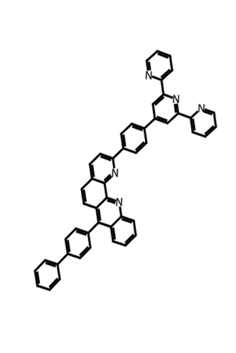 c1ccc(-c2ccc(-c3c4ccccc4nc4c3ccc3ccc(-c5ccc(-c6cc(-c7ccccn7)nc(-c7ccccn7)c6)cc5)nc34)cc2)cc1